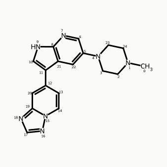 CN1CCN(c2cnc3[nH]cc(-c4ccn5ncnc5c4)c3c2)CC1